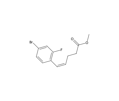 COC(=O)CC/C=C\c1ccc(Br)cc1F